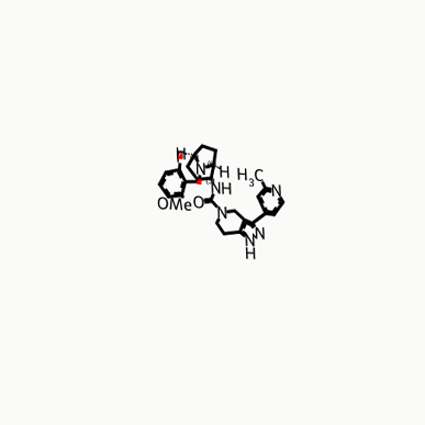 COc1cccc(F)c1CN1[C@H]2CC[C@H](NC(=O)N3CCc4[nH]nc(-c5ccnc(C)c5)c4C3)[C@@H]1CC2